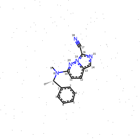 C[C@@H](c1ccccc1)N(C)c1ccc2cnc(C#N)n2n1